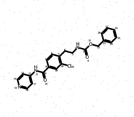 O=C(NCCc1ccc(C(=O)Nc2ccncc2)cc1Cl)OCc1ccccc1